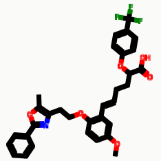 COc1ccc(OCCc2nc(-c3ccccc3)oc2C)c(C=CCCC(Oc2ccc(C(F)(F)F)cc2)C(=O)O)c1